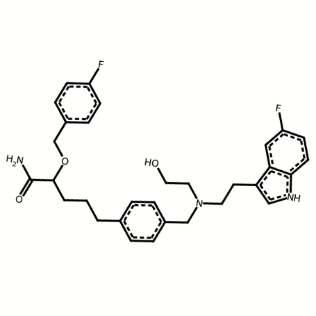 NC(=O)C(CCCc1ccc(CN(CCO)CCc2c[nH]c3ccc(F)cc23)cc1)OCc1ccc(F)cc1